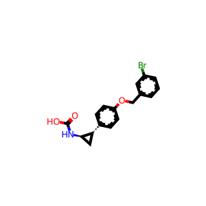 O=C(O)N[C@@H]1C[C@H]1c1ccc(OCc2cccc(Br)c2)cc1